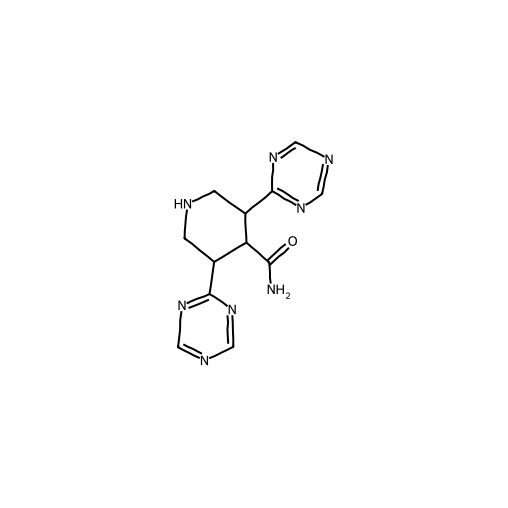 NC(=O)C1C(c2ncncn2)CNCC1c1ncncn1